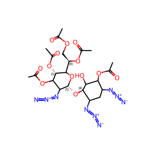 CC(=O)OC[C@@H](OC(C)=O)C1O[C@H](O[C@@H]2C(N=[N+]=[N-])CC(N=[N+]=[N-])C(OC(C)=O)C2O)C(N=[N+]=[N-])C(OC(C)=O)[C@@H]1OC(C)=O